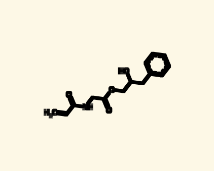 C=CC(=O)NCC(=O)OCC(O)Cc1ccccc1